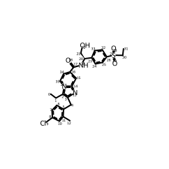 CCc1c(Cc2ccc(Cl)cc2C)nc2cc(C(=O)N[C@@H](CO)c3ccc(S(=O)(=O)CC)cc3)ccn12